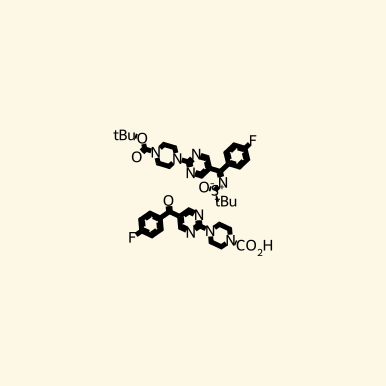 CC(C)(C)OC(=O)N1CCN(c2ncc(/C(=N\[S@+]([O-])C(C)(C)C)c3ccc(F)cc3)cn2)CC1.O=C(c1ccc(F)cc1)c1cnc(N2CCN(C(=O)O)CC2)nc1